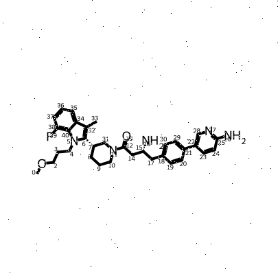 COCCCn1c([C@H]2CCCN(C(=O)C[C@H](N)Cc3ccc(-c4ccc(N)nc4)cc3)C2)c(C)c2cccc(F)c21